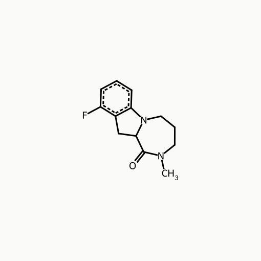 CN1CCCN2c3cccc(F)c3CC2C1=O